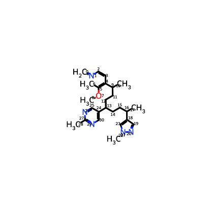 C=N/C=C\C(=C(C)OC)C(C)CCC(CCC(C)c1cnn(C)c1)c1cnc(C)nc1